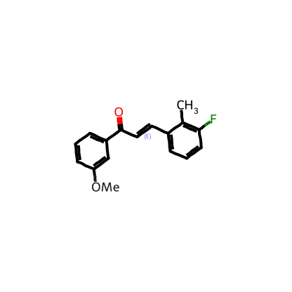 COc1cccc(C(=O)/C=C/c2cccc(F)c2C)c1